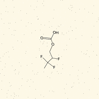 CC(F)(F)C(F)COC(=O)O